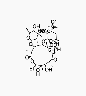 [2H]C([2H])([2H])O[C@]1(C)C[C@@H](C)C(=O)[C@H](C)[C@@H](O)[C@](C)(O)[C@@H](CC)OC(=O)[C@H](C)[C@@H](O[C@H]2C[C@@](C)(OC)[C@@H](O)[C@H](C)O2)[C@H](C)[C@H]1O[C@@H]1O[C@H](C)C[C@H]([N+](C)(C)[O-])[C@H]1O